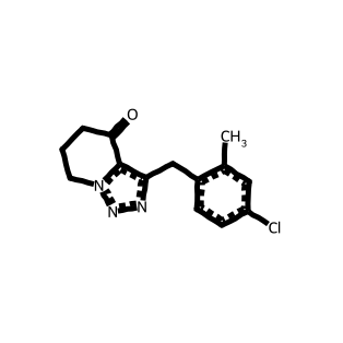 Cc1cc(Cl)ccc1Cc1nnn2c1C(=O)CCC2